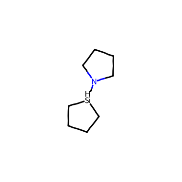 C1CCN([SiH]2CCCC2)C1